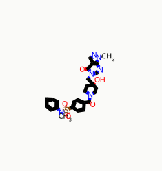 CN(c1ccccc1)S(=O)(=O)c1ccc(C(=O)N2CCC(O)(Cn3cnc4c(cnn4C)c3=O)CC2)cc1